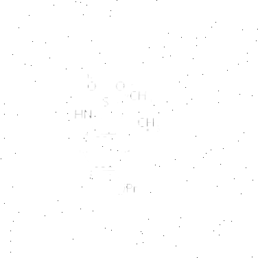 CC(C)c1ccc2c(c1)C(C)(C)S(=O)(=O)N2